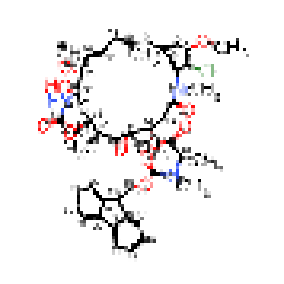 COc1cc2cc(c1Cl)N(C)C(=O)C[C@H](OC(=O)[C@H](C)N(C)C(=O)OCC1c3ccccc3-c3ccccc31)[C@]1(C)OC1C(C)[C@@H]1C[C@@](O)(NC(=O)O1)[C@H](OC)/C=C/C=C(\C)C2